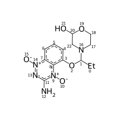 CCC(Oc1cccc2c1[n+]([O-])c(N)n[n+]2[O-])N1CCOC(O)C1